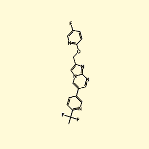 CC(F)(F)c1ccc(-c2cnc3nc(COc4ccc(F)cn4)cn3c2)cn1